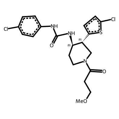 COCCC(=O)N1CC[C@@H](NC(=O)Nc2ccc(Cl)cc2)[C@H](c2ccc(Cl)s2)C1